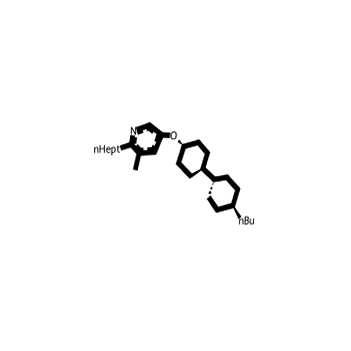 CCCCCCCc1ncc(O[C@H]2CC[C@H]([C@H]3CC[C@H](CCCC)CC3)CC2)cc1C